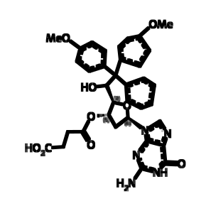 COc1ccc(C(c2ccccc2)(c2ccc(OC)cc2)C(O)[C@H]2O[C@@H](n3cnc4c(=O)[nH]c(N)nc43)C[C@@H]2OC(=O)CCC(=O)O)cc1